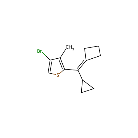 Cc1c(Br)csc1C(=C1CCC1)C1CC1